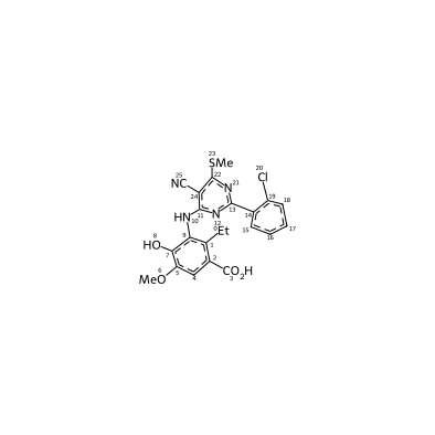 CCc1c(C(=O)O)cc(OC)c(O)c1Nc1nc(-c2ccccc2Cl)nc(SC)c1C#N